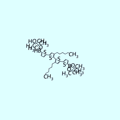 CCCCCCc1cc(-c2ccc(BOC(C)(C)C(C)(C)O)s2)sc1-c1sc(-c2ccc(B3OC(C)(C)C(C)(C)O3)s2)cc1CCCCCC